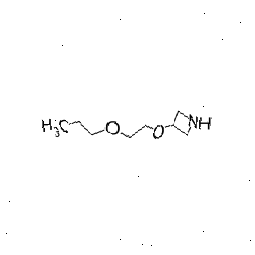 CCCOCCOC1CNC1